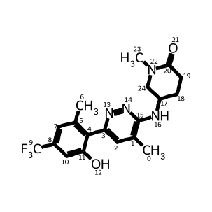 Cc1cc(-c2c(C)cc(C(F)(F)F)cc2O)nnc1NC1CCC(=O)N(C)C1